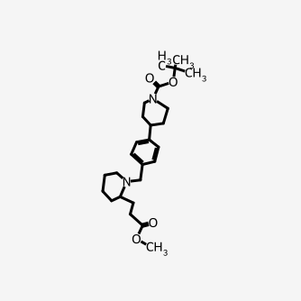 COC(=O)CCC1CCCCN1Cc1ccc(C2CCN(C(=O)OC(C)(C)C)CC2)cc1